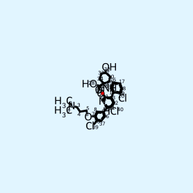 CN(C)CCCOc1cc(-c2ccc(-c3ccccc3Cl)c(C(=O)NC3(C(=O)O)CCC(O)CC3)n2)ccc1Cl.Cl